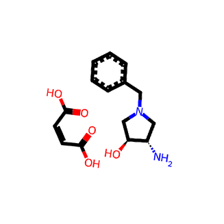 N[C@H]1CN(Cc2ccccc2)C[C@@H]1O.O=C(O)/C=C\C(=O)O